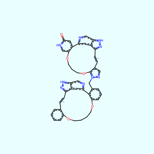 O=c1cc2c(c[nH]1)OCCCOc1c(cnn1Cc1cccc3c1-c1cc4c(n[nH]c4cn1)/C=C/c1ccccc1OCCCCO3)/C=C/c1n[nH]c3cnc-2cc13